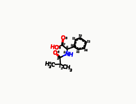 CC(C)C(=O)NC(C(=O)O)c1ccccc1